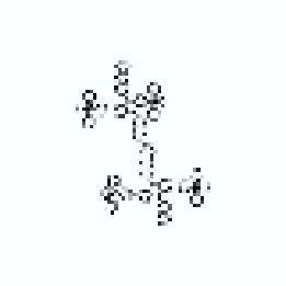 O=P(c1ccccc1)(c1ccccc1)c1ccc(-c2ccc3c(-c4ccc5cc6cc(-c7ccc8cc(-c9c%10ccc(-c%11ccc(P(=O)(c%12ccccc%12)c%12ccccc%12)cc%11)cc%10c(-c%10ccc%11cc%12ccccc%12cc%11c%10)c%10ccc(P(=O)(c%11ccccc%11)c%11ccccc%11)cc9%10)ccc8c7)ccc6cc5c4)c4cc(-c5ccc(P(=O)(c6ccccc6)c6ccccc6)cc5)ccc4c(-c4ccc5ccccc5c4)c3c2)cc1